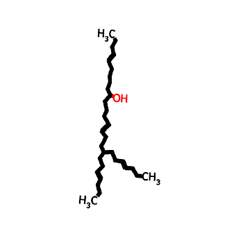 CCCC=CCCCCC(O)CCCC=CCCC(CCC=CCCC)CCC=CCCC